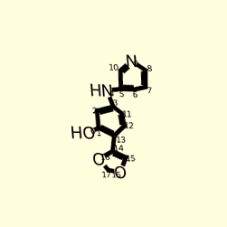 Oc1cc(Nc2cccnc2)ccc1C1=COCO1